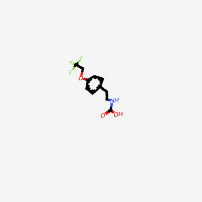 O=C(O)NCCc1ccc(OCC(F)(F)F)cc1